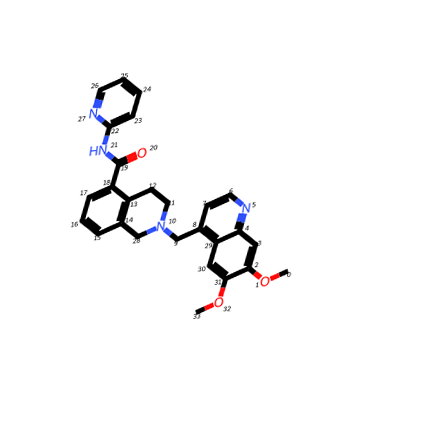 COc1cc2nccc(CN3CCc4c(cccc4C(=O)Nc4ccccn4)C3)c2cc1OC